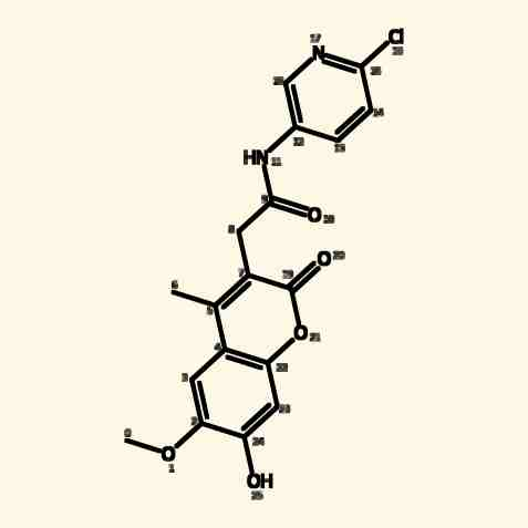 COc1cc2c(C)c(CC(=O)Nc3ccc(Cl)nc3)c(=O)oc2cc1O